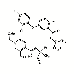 COCc1cnc(C2=NC(C)(C(C)C)C(=O)N2)c(C(=O)O)c1.C[C@H](OC(=O)c1cc(Oc2ccc(C(F)(F)F)cc2Cl)ccc1Cl)C(=O)O